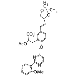 COc1ccccc1-c1nccc(COc2ccc(/C=C/C3COC(C)(C)O3)cc2CC(OC(C)=O)C(=O)O)n1